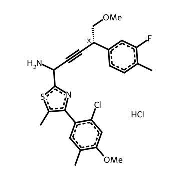 COC[C@@H](C#CC(N)c1nc(-c2cc(C)c(OC)cc2Cl)c(C)s1)c1ccc(C)c(F)c1.Cl